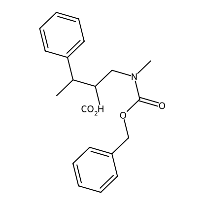 CC(c1ccccc1)C(CN(C)C(=O)OCc1ccccc1)C(=O)O